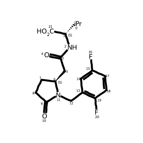 CC(C)[C@H](NC(=O)C[C@@H]1CCC(=O)N1Cc1cc(F)ccc1F)C(=O)O